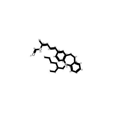 CCCCC(CC)CN1c2ccccc2CCc2cc(/C=C/C=C(/C)OC=O)ccc21